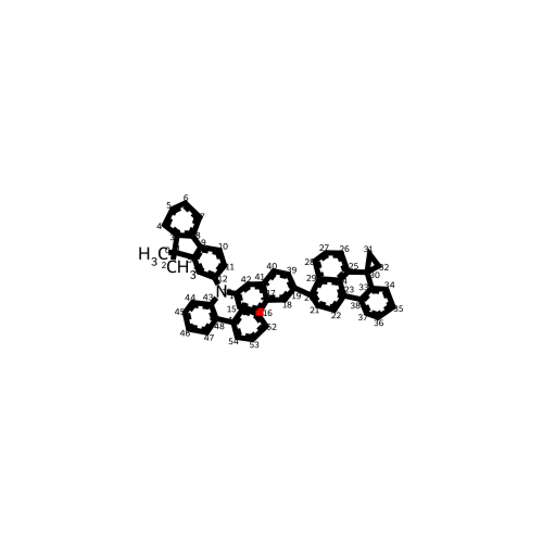 CC1(C)c2ccccc2-c2ccc(N(c3ccc4cc(-c5ccc6c7c(cccc57)C5(CC5)c5ccccc5-6)ccc4c3)c3ccccc3-c3ccccc3)cc21